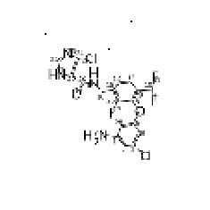 Nc1cc(Cl)cc(Oc2c(C(F)F)ccc(CNC(=O)c3[nH]cnc3Cl)c2F)c1